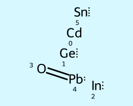 [Cd].[Ge].[In].[O]=[Pb].[Sn]